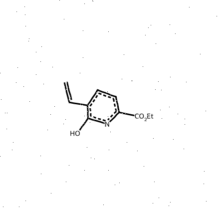 C=Cc1ccc(C(=O)OCC)nc1O